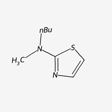 CCCCN(C)c1nccs1